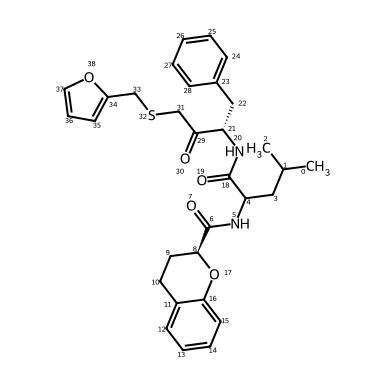 CC(C)CC(NC(=O)[C@@H]1CCc2ccccc2O1)C(=O)N[C@@H](Cc1ccccc1)C(=O)CSCc1ccco1